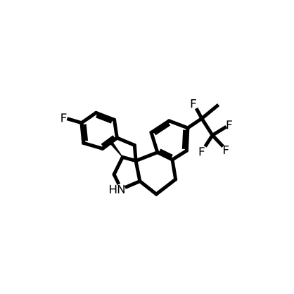 C[C@@H]1CNC2CCc3cc(C(C)(F)C(F)(F)F)ccc3C21Cc1ccc(F)cc1